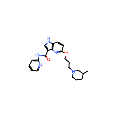 CC1CCCN(CCCOc2ccc3[nH]cc(C(=O)Nc4ccccn4)c3n2)C1